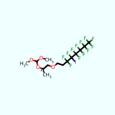 COC(OC)O[C@H](C)COCCC(F)(F)C(F)(I)C(F)(F)C(F)(F)C(F)(F)C(F)(F)F